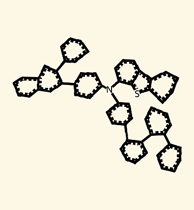 c1ccc(-c2cc3ccccc3cc2-c2ccc(N(c3ccc(-c4ccccc4-c4ccccc4-c4ccccc4)cc3)c3cccc4c3sc3ccccc34)cc2)cc1